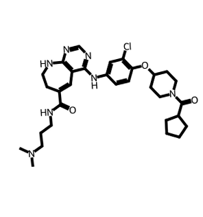 CN(C)CCCNC(=O)C1=Cc2c(ncnc2Nc2ccc(OC3CCN(C(=O)C4CCCC4)CC3)c(Cl)c2)NCC1